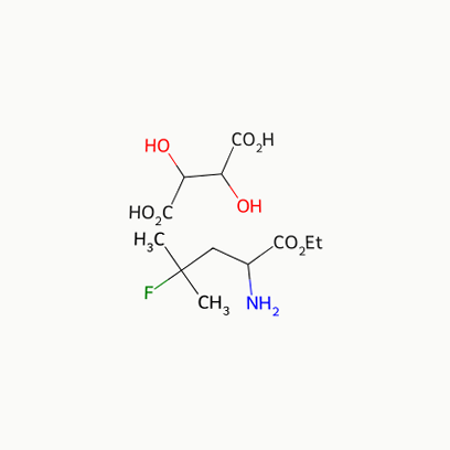 CCOC(=O)C(N)CC(C)(C)F.O=C(O)C(O)C(O)C(=O)O